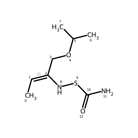 C/C=C(/COC(C)C)NSC(N)=O